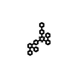 c1ccc(-c2ccc(-c3nc(-c4ccc(-c5cccc(-c6ccccc6)c5-c5ccccc5)cc4)nc(-c4ccccc4-c4ccccc4)n3)cc2)cc1